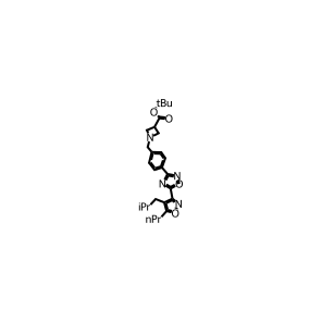 CCCc1onc(-c2nc(-c3ccc(CN4CC(C(=O)OC(C)(C)C)C4)cc3)no2)c1CC(C)C